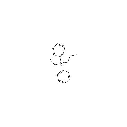 CCC[N+](CC)(c1ccccc1)c1ccccc1